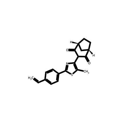 C=Cc1ccc(-c2nc(C3C(=O)[C@@H]4CC[C@@H](C4)C3=O)c(C)s2)cc1